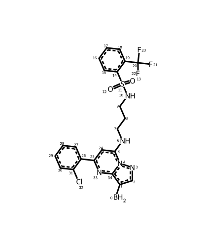 Bc1cnn2c(NCCCNS(=O)(=O)c3ccccc3C(F)(F)F)cc(-c3ccccc3Cl)nc12